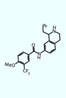 COc1ccc(C(=O)Nc2ccc3c(c2)C(CC(C)C)NCC3)cc1C(F)(F)F